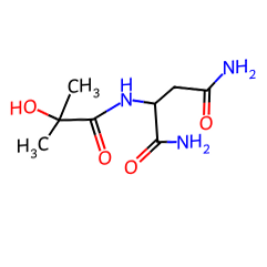 CC(C)(O)C(=O)NC(CC(N)=O)C(N)=O